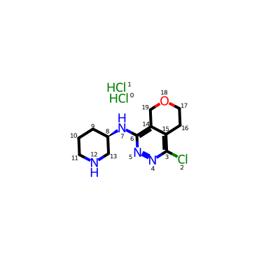 Cl.Cl.Clc1nnc(N[C@@H]2CCCNC2)c2c1CCOC2